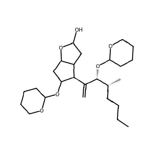 C=C(C1C(OC2CCCCO2)CC2OC(O)CC21)[C@H](OC1CCCCO1)[C@H](C)CCCC